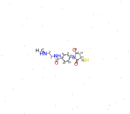 CNCCNC(=O)c1ccc(N2C(=O)CC(S)C2=O)cc1